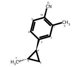 Cc1cc([C@H]2C[C@@H]2C)ccc1C#N